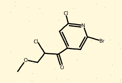 COCC(Cl)C(=O)c1cc(Cl)nc(Br)c1